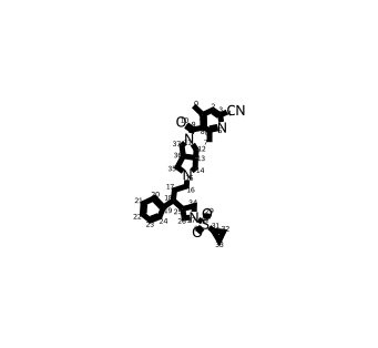 Cc1cc(C#N)nc(C)c1C(=O)N1CC2CN(CCC(c3ccccc3)C3CN(S(=O)(=O)C4CC4)C3)CC2C1